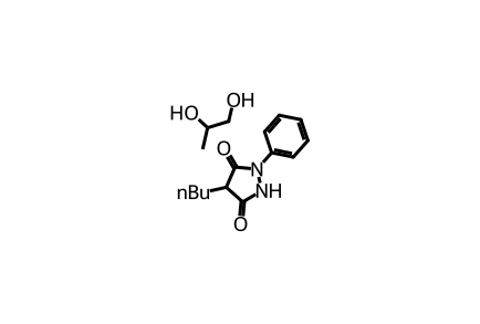 CC(O)CO.CCCCC1C(=O)NN(c2ccccc2)C1=O